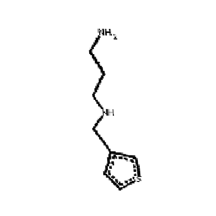 NCCCNCc1ccsc1